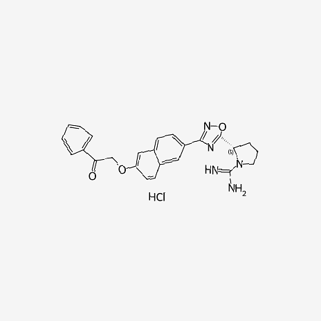 Cl.N=C(N)N1CCC[C@H]1c1nc(-c2ccc3cc(OCC(=O)c4ccccc4)ccc3c2)no1